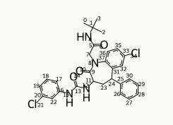 CC(C)(C)NC(=O)CN1C(=O)C(NC(=O)Nc2cccc(Cl)c2)CC(c2ccccc2)c2cc(Cl)ccc21